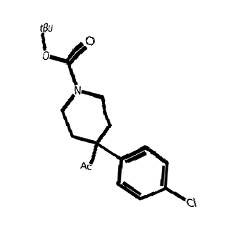 CC(=O)C1(c2ccc(Cl)cc2)CCN(C(=O)OC(C)(C)C)CC1